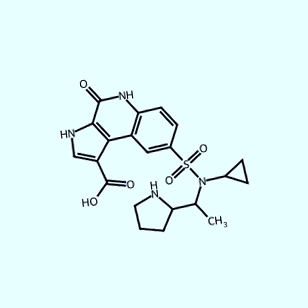 CC(C1CCCN1)N(C1CC1)S(=O)(=O)c1ccc2[nH]c(=O)c3[nH]cc(C(=O)O)c3c2c1